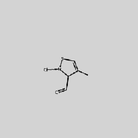 CC1=CSN(Cl)C1C=O